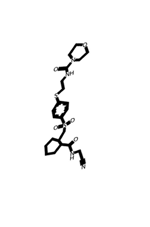 N#CCNC(=O)C1CCCCC1CS(=O)(=O)c1ccc(SCCNC(=O)N2CCOCC2)cc1